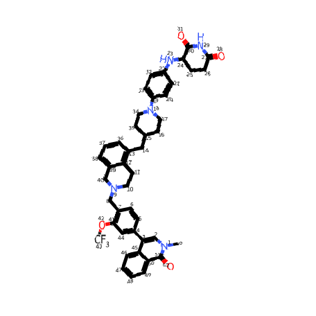 Cn1cc(-c2ccc(CN3CCc4c(CC5CCN(c6ccc(NC7CCC(=O)NC7=O)cc6)CC5)cccc4C3)c(OC(F)(F)F)c2)c2ccccc2c1=O